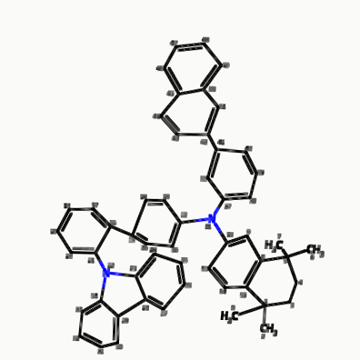 CC1(C)CCC(C)(C)c2cc(N(c3ccc(-c4ccccc4-n4c5ccccc5c5ccccc54)cc3)c3cccc(-c4ccc5ccccc5c4)c3)ccc21